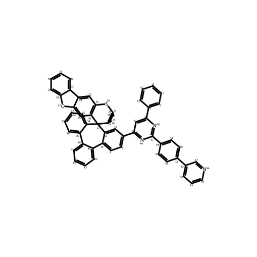 c1ccc(-c2cc(-c3ccc4c(c3)C3(c5ccccc5Sc5cc6c(cc53)oc3ccccc36)c3ccccc3-c3ccccc3-4)nc(-c3ccc(-c4cccnc4)cc3)n2)cc1